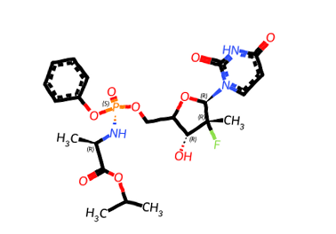 CC(C)OC(=O)[C@@H](C)N[P@](=O)(OCC1O[C@@H](n2ccc(=O)[nH]c2=O)[C@](C)(F)[C@@H]1O)Oc1ccccc1